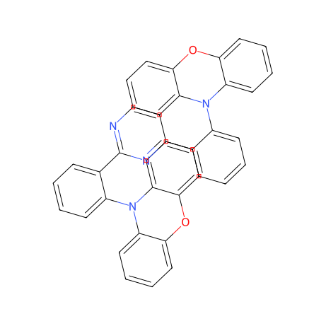 c1ccc2c(c1)Oc1ccccc1N2c1ccccc1-c1ccnc(-c2ccccc2N2c3ccccc3Oc3ccccc32)n1